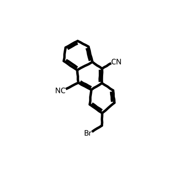 N#Cc1c2ccccc2c(C#N)c2cc(CBr)ccc12